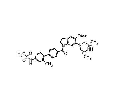 COc1cc2c(cc1N1C[C@@H](C)N[C@@H](C)C1)N(C(=O)c1ccc(-c3ccc(NS(C)(=O)=O)cc3C)cc1)CC2